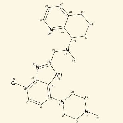 CN1CCN(c2ccc(Cl)c3nc(CN(C)C4CCCc5cccnc54)[nH]c23)CC1